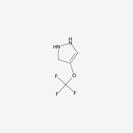 FC(F)(F)OC1=[C]NNC1